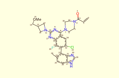 C=CC(=O)N1CCN(c2nc(N3CC(COC)C3)nc3c(F)c(-c4c(C)ccc5[nH]cnc45)c(Cl)cc23)CC1